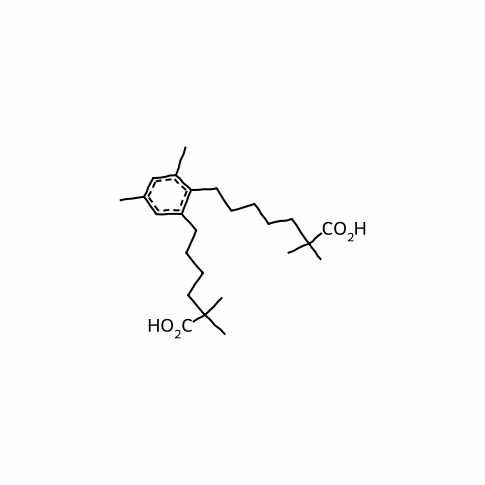 Cc1cc(C)c(CCCCCC(C)(C)C(=O)O)c(CCCCC(C)(C)C(=O)O)c1